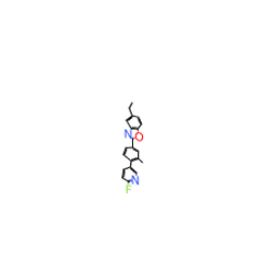 CCc1ccc2oc(-c3ccc(-c4ccc(F)nc4)c(C)c3)nc2c1